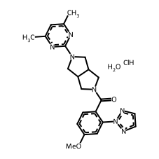 COc1ccc(C(=O)N2CC3CN(c4nc(C)cc(C)n4)CC3C2)c(-n2nccn2)c1.Cl.O